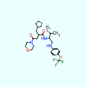 CC(C)C(CNc1ccc(OC(F)(F)F)cc1)NC(=O)C(CC(=O)N1CCOCC1)CC1CCCC1